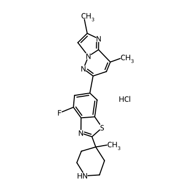 Cc1cn2nc(-c3cc(F)c4nc(C5(C)CCNCC5)sc4c3)cc(C)c2n1.Cl